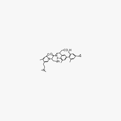 Cc1cc(=O)n(C(CC(C)C)C(=O)/N=C/C(CC(=O)O)c2cc(-c3c(C)cc(C4CC4)cc3C)cc(C)c2F)cc1CCN(C)C